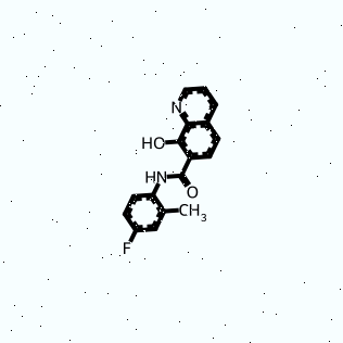 Cc1cc(F)ccc1NC(=O)c1ccc2cccnc2c1O